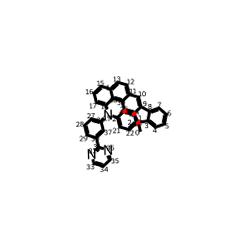 CC1(C)c2ccccc2-c2cc3ccc4cccc(N(c5ccccc5)c5cccc(-c6ncccn6)c5)c4c3cc21